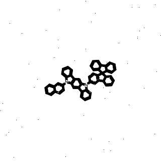 C1=CC2c3cc(-n4c5ccccc5c5cc6c(cc54)c4ccccc4n6-c4ccc5ccccc5c4)ccc3C3(c4ccccc4-c4ccccc43)C2C=C1